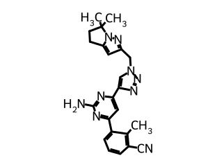 Cc1c(C#N)cccc1-c1cc(-c2cn(Cc3cc4n(n3)C(C)(C)CC4)nn2)nc(N)n1